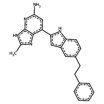 Cc1nc2c(-c3cc4cc(CCc5ccccc5)ccc4[nH]3)cc(N)nc2[nH]1